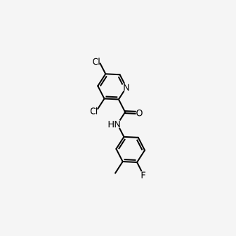 Cc1cc(NC(=O)c2ncc(Cl)cc2Cl)ccc1F